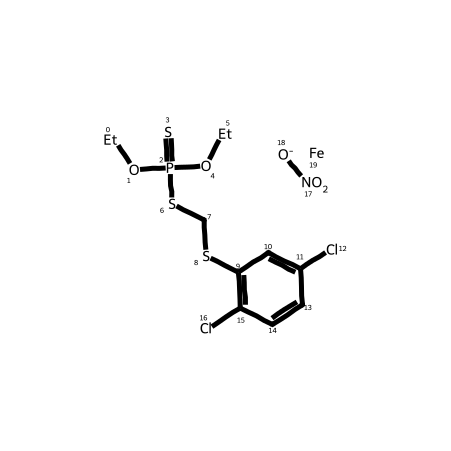 CCOP(=S)(OCC)SCSc1cc(Cl)ccc1Cl.O=[N+]([O-])[O-].[Fe]